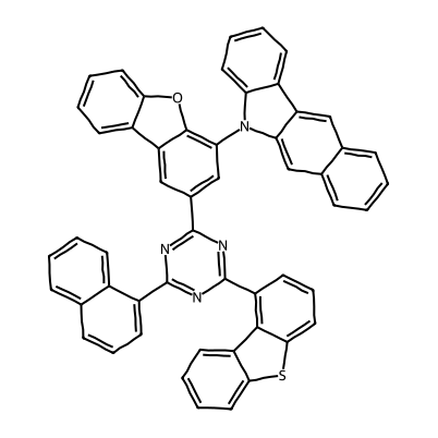 c1ccc2cc3c(cc2c1)c1ccccc1n3-c1cc(-c2nc(-c3cccc4ccccc34)nc(-c3cccc4sc5ccccc5c34)n2)cc2c1oc1ccccc12